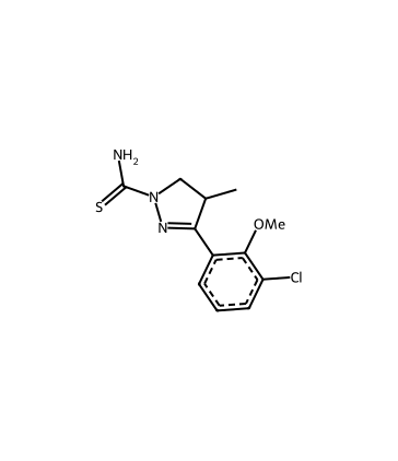 COc1c(Cl)cccc1C1=NN(C(N)=S)CC1C